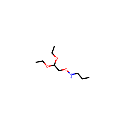 CCCNOCC(OCC)OCC